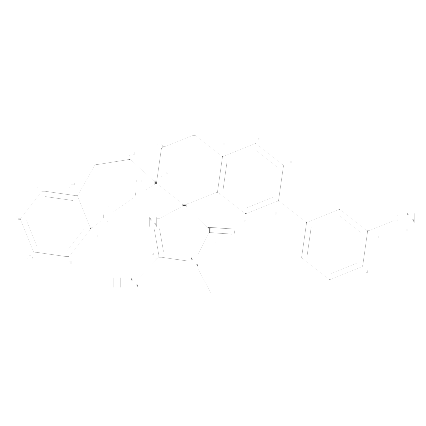 CN1C(=O)C2(N=C1N)c1cc(-c3cccc(C#N)c3)ccc1CCC21CCc2ccccc2CC1